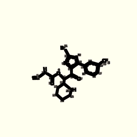 CC(C)(C)NC(=O)OC(C(=O)c1nc(Br)sc1-c1cccc(C(F)(F)F)c1)C1CCCCN1